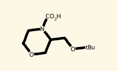 CC(C)(C)OCC1COCCN1C(=O)O